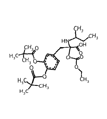 CCOC(=O)O[C@](Cc1ccc(OC(=O)C(C)(C)C)c(OC(=O)C(C)(C)C)c1)(NC(C)CC)C(=O)O